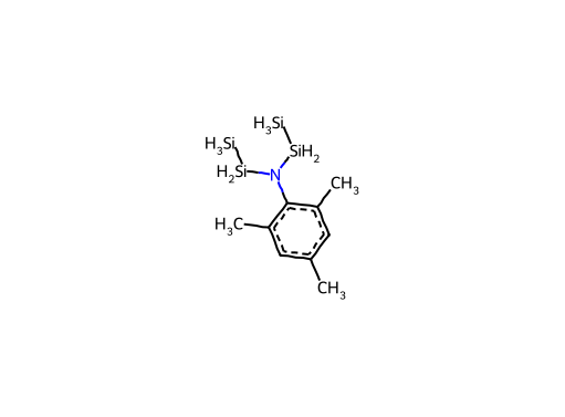 Cc1cc(C)c(N([SiH2][SiH3])[SiH2][SiH3])c(C)c1